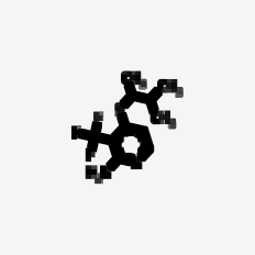 CC(C)C(C)Sc1ccnc(N)c1C(F)(F)F